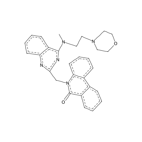 CN(CCN1CCOCC1)c1nc(Cn2c(=O)c3ccccc3c3ccccc32)nc2ccccc12